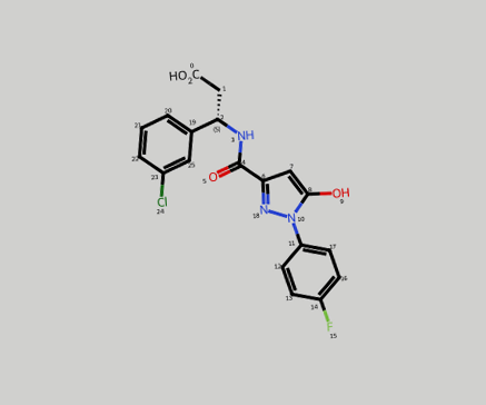 O=C(O)C[C@H](NC(=O)c1cc(O)n(-c2ccc(F)cc2)n1)c1cccc(Cl)c1